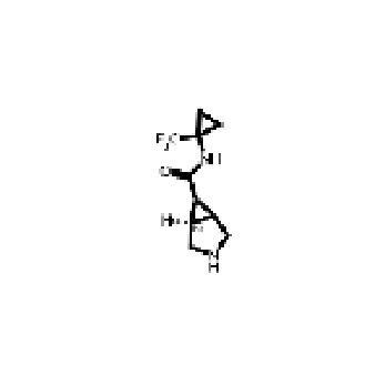 O=C(NC1(C(F)(F)F)CC1)C1C2CNC[C@H]21